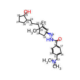 CCC1=CC(=NNC(=O)c2ccc(CN(C)C)cc2)CCC1(C)CCCC1CCCC1O